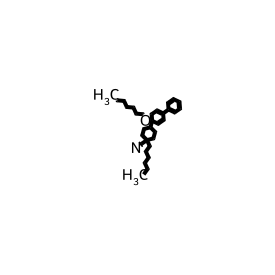 CCCCCCCOC1(C2CCC(C#N)(CCCCCC)CC2)C=CC(c2ccccc2)=CC1